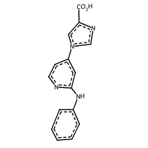 O=C(O)c1cn(-c2ccnc(Nc3ccccc3)c2)cn1